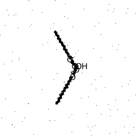 CCCCCCCCCCCCCCCCOSCCOP(O)OCCSOCCCCCCCCCCCCCCCC